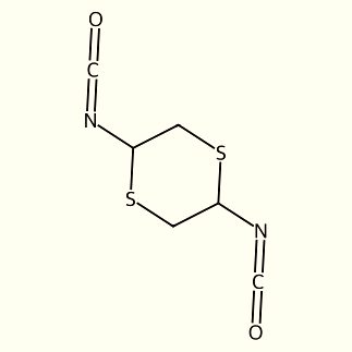 O=C=NC1CSC(N=C=O)CS1